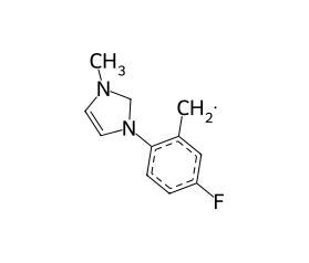 [CH2]c1cc(F)ccc1N1C=CN(C)C1